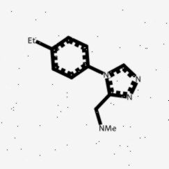 CCc1ccc(-n2cnnc2CNC)cc1